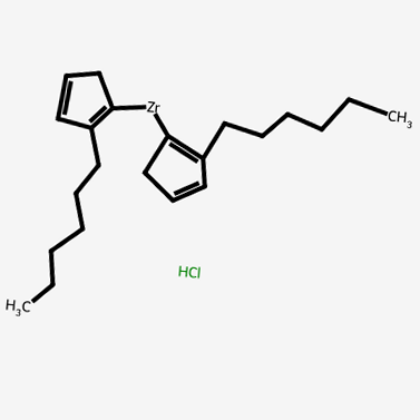 CCCCCCC1=[C]([Zr][C]2=C(CCCCCC)C=CC2)CC=C1.Cl